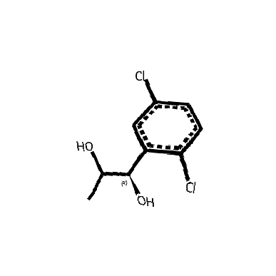 CC(O)[C@H](O)c1cc(Cl)ccc1Cl